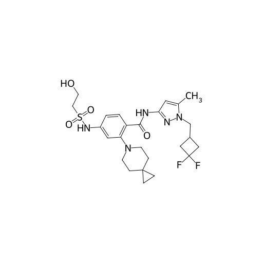 Cc1cc(NC(=O)c2ccc(NS(=O)(=O)CCO)cc2N2CCC3(CC2)CC3)nn1CC1CC(F)(F)C1